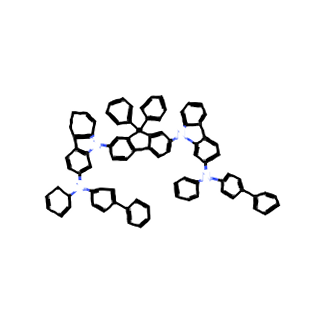 C1=CCC(N(c2ccc(-c3ccccc3)cc2)c2ccc3c4c(n(-c5ccc6c(c5)C(c5ccccc5)(c5ccccc5)c5cc(-n7c8ccccc8c8ccc(N(c9ccccc9)c9ccc(-c%10ccccc%10)cc9)cc87)ccc5-6)c3c2)C=CCC4)C=C1